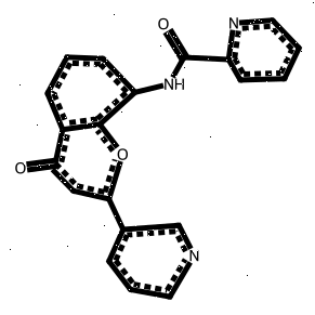 O=C(Nc1cccc2c(=O)cc(-c3cccnc3)oc12)c1ccccn1